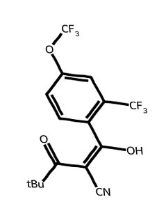 CC(C)(C)C(=O)C(C#N)=C(O)c1ccc(OC(F)(F)F)cc1C(F)(F)F